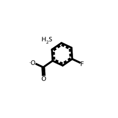 S.[O]C(=O)c1cccc(F)c1